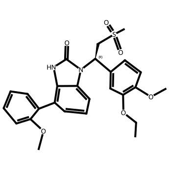 CCOc1cc([C@H](CS(C)(=O)=O)n2c(=O)[nH]c3c(-c4ccccc4OC)cccc32)ccc1OC